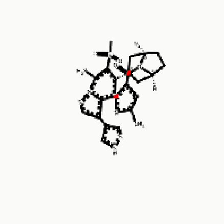 CS(=O)(=O)c1c([C@@H]2C[C@H]3CC[C@@H](C2)N3C(=O)c2cc(N)n[nH]2)nc2c(-c3cn[nH]c3)cnn2c1N